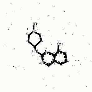 CC(C)N1CCC(Nc2ncc3cccc(O)c3n2)CC1